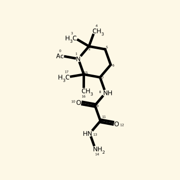 CC(=O)N1C(C)(C)CCC(NC(=O)C(=O)NN)C1(C)C